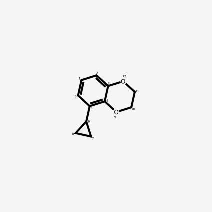 [c]1ccc2c(c1C1CC1)OCCO2